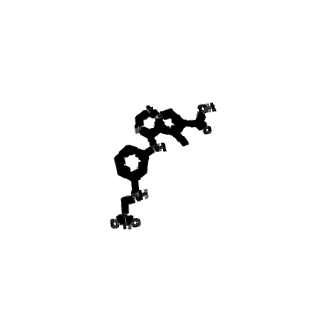 Cc1c(C(=O)O)cn2ncnc(Nc3cccc(NC[SH](=O)=O)c3)c12